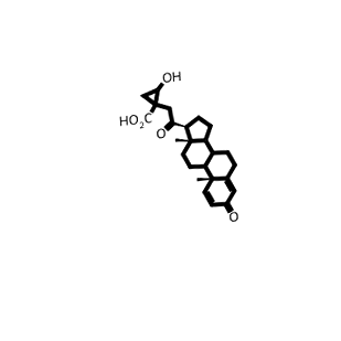 C[C@]12C=CC(=O)C=C1CCC1C2CC[C@@]2(C)C1CC[C@@H]2C(=O)CC1(C(=O)O)CC1O